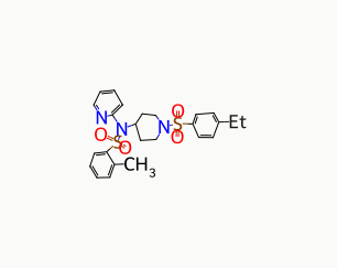 CCc1ccc(S(=O)(=O)N2CCC(N(c3ccccn3)S(=O)(=O)c3ccccc3C)CC2)cc1